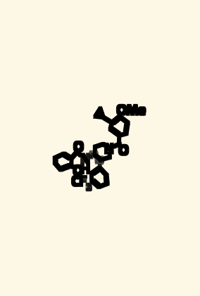 COc1ccc(C(=O)N2CC[C@@H](NC(=O)c3ccccc3OC(F)(F)F)[C@@H](c3ccccc3)C2)cc1C1CC1